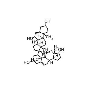 C[C@]12CCC(O)CC1=CC(O)[C@@H]1[C@H]2CC[C@@]2(C)[C@H]1CCC2(O)C1CC(O)CC2=CC[C@@H]3[C@@H](CC[C@]4(C)C(O)CC[C@@H]34)[C@]21C